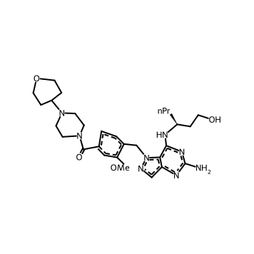 CCC[C@@H](CCO)Nc1nc(N)nc2cnn(Cc3ccc(C(=O)N4CCN(C5CCOCC5)CC4)cc3OC)c12